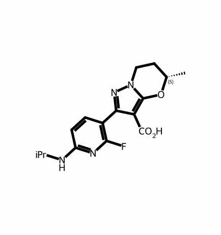 CC(C)Nc1ccc(-c2nn3c(c2C(=O)O)O[C@@H](C)CC3)c(F)n1